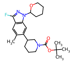 Cc1cc2c(F)nn(C3CCCCO3)c2cc1C1CCCN(C(=O)OC(C)(C)C)C1